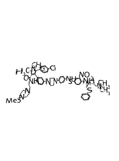 CSN1CCN(CCNC(=O)c2c(-c3cccc(N4CCN(c5ccc(NSc6ccc(N[C@H](CCN(C)C)CSc7ccccc7)c([N+](=O)[O-])c6)cc5)CC4)c3)c(-c3ccc(Cl)cc3)n(C)c2C)CC1